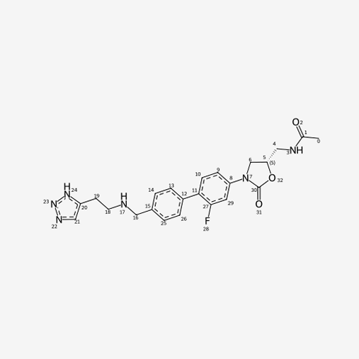 CC(=O)NC[C@H]1CN(c2ccc(-c3ccc(CNCCc4cnn[nH]4)cc3)c(F)c2)C(=O)O1